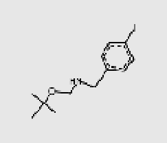 CC(C)(C)OCNCc1ccc(I)cc1